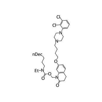 CCCCCCCCCCCCCN(CC)C(=O)OCN1C(=O)CCc2ccc(OCCCCN3CCN(c4cccc(Cl)c4Cl)CC3)cc21